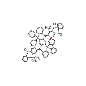 CC1(C)c2ccccc2C(=O)c2ccc(N3c4ccccc4C(c4ccccc4)(c4ccccc4)c4cc5c(cc43)C(c3ccccc3)(c3ccccc3)c3ccccc3N5c3ccc4c(c3)C(C)(C)c3ccccc3C4=O)cc21